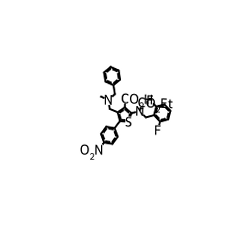 CCOC(=O)N(Cc1c(F)cccc1F)c1sc(-c2ccc([N+](=O)[O-])cc2)c(CN(C)Cc2ccccc2)c1C(=O)O